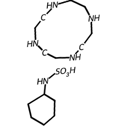 C1CNCCNCCNCCN1.O=S(=O)(O)NC1CCCCC1